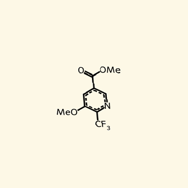 COC(=O)c1cnc(C(F)(F)F)c(OC)c1